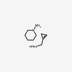 CCCCCCCC1=CC1.NN1CCCCC1